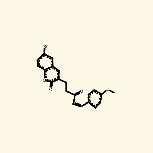 COc1ccc(/C=C\C(=O)CCc2cc3cc(Br)ccc3oc2=O)cc1